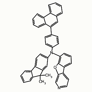 CC1(C)c2ccccc2-c2ccc(N(c3ccc(-c4cc5ccccc5c5ccccc45)cc3)c3cccc4c3oc3cnccc34)cc21